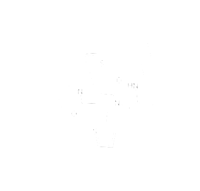 CCCCNC(CC)CN1C(=O)C2=C(c3cccs3)N(CC(C)CC)C(=O)C2=C1c1cccs1